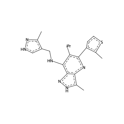 Cc1n[nH]cc1CNc1c(C(C)C)c(-c2ccsc2C)nc2c(C)[nH]nc12